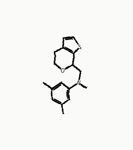 Cc1cc(C)cc(N(C)CC2OCCc3ccsc32)c1